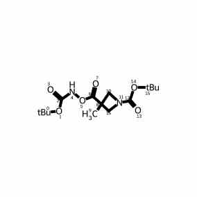 CC(C)(C)OC(=O)NOC(=O)C1(C)CN(C(=O)OC(C)(C)C)C1